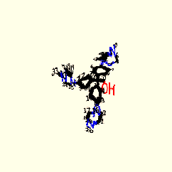 CN1CCN(c2ccc(C(CO)(c3ccc(N4CCN(C)CC4)cc3)c3ccc(N4CCN(C)CC4)cc3)cc2)CC1